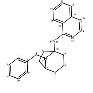 c1ccc(CN2C3CCCC2(Nc2ncnc4ccccc24)CC3)cc1